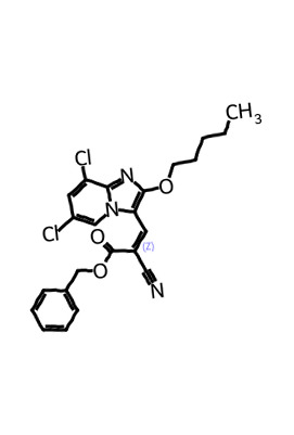 CCCCCOc1nc2c(Cl)cc(Cl)cn2c1/C=C(/C#N)C(=O)OCc1ccccc1